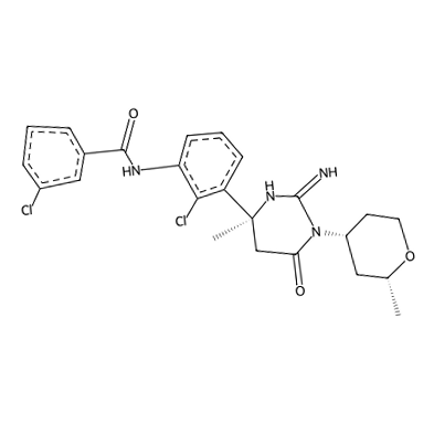 C[C@@H]1C[C@H](N2C(=N)N[C@](C)(c3cccc(NC(=O)c4cccc(Cl)c4)c3Cl)CC2=O)CCO1